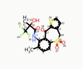 Cc1ccc2c(c1NC(=O)C(C)(O)C(F)(F)F)C(=O)c1sccc1CS2(=O)=O